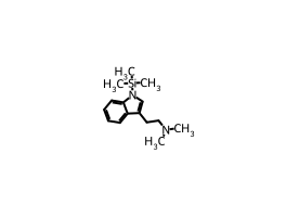 CN(C)CCc1cn([Si](C)(C)C)c2ccccc12